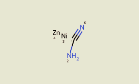 N#CN.[Ni].[Zn]